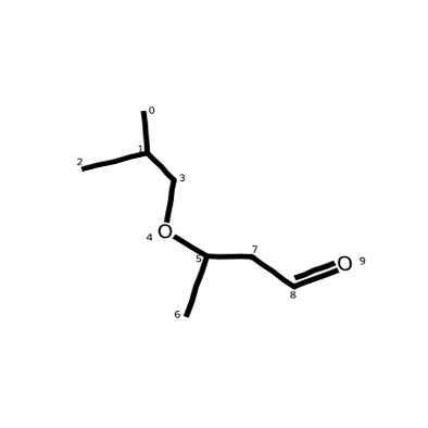 CC(C)COC(C)CC=O